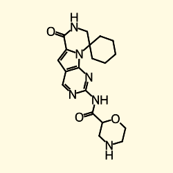 O=C1NCC2(CCCCC2)n2c1cc1cnc(NC(=O)C3CNCCO3)nc12